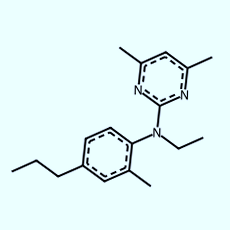 CCCc1ccc(N(CC)c2nc(C)cc(C)n2)c(C)c1